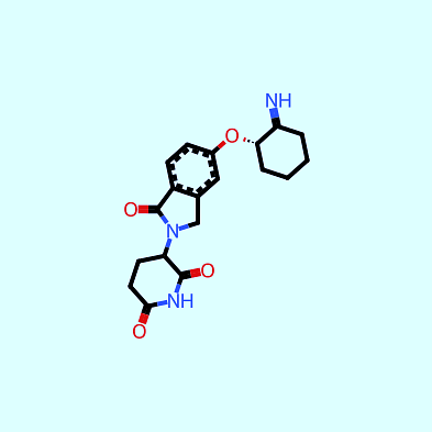 N=C1CCCC[C@@H]1Oc1ccc2c(c1)CN(C1CCC(=O)NC1=O)C2=O